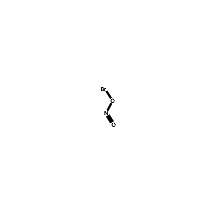 O=NOBr